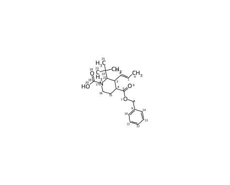 CC=CC1C(C(=O)OCc2ccccc2)CCN(C(=O)O)C1C(C)(C)C